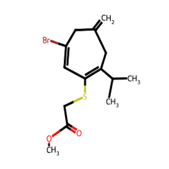 C=C1CC(Br)=CC(SCC(=O)OC)=C(C(C)C)C1